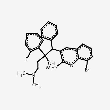 COc1nc2c(Br)cccc2cc1C(c1ccccc1)C(O)(CCN(C)C)c1ccccc1F